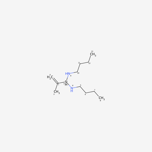 C=C(C)[SiH](NCCCC)NCCCC